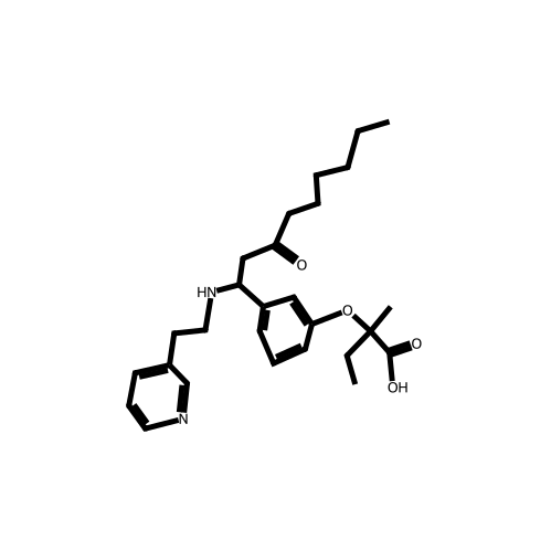 CCCCCCC(=O)CC(NCCc1cccnc1)c1cccc(OC(C)(CC)C(=O)O)c1